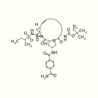 CCC(C)S(=O)(=O)NC(=O)[C@@]12C[C@H]1/C=C\CCCCC[C@H](NC(=O)OC(C)(C)C)C(=O)N1C[C@H](NC(=O)c3ccc(C(N)=O)cc3)C[C@H]1C(=O)N2